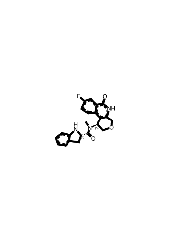 CN(C(=O)[C@@H]1Cc2ccccc2N1)[C@@H]1COCc2[nH]c(=O)c3cc(F)ccc3c21